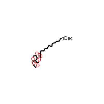 CCCCCCCCCCCCCCCCCCCCCC(=O)O[C@@H]1CO[C@H]2[C@@H]1OCC21OCCO1